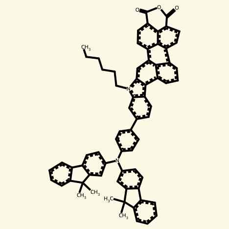 CCCCCCn1c2cc(-c3ccc(N(c4ccc5c(c4)C(C)(C)c4ccccc4-5)c4ccc5c(c4)C(C)(C)c4ccccc4-5)cc3)ccc2c2c3cccc4c5ccc6c7c(ccc(c(cc21)c43)c75)C(=O)OC6=O